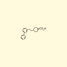 O=C(O)N1CCC(CCc2cccc(-c3ccccc3)c2)CC1